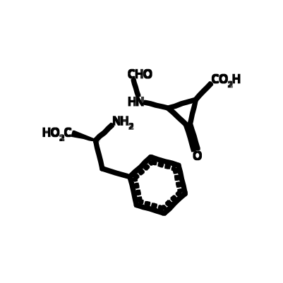 N[C@@H](Cc1ccccc1)C(=O)O.O=CNC1C(=O)C1C(=O)O